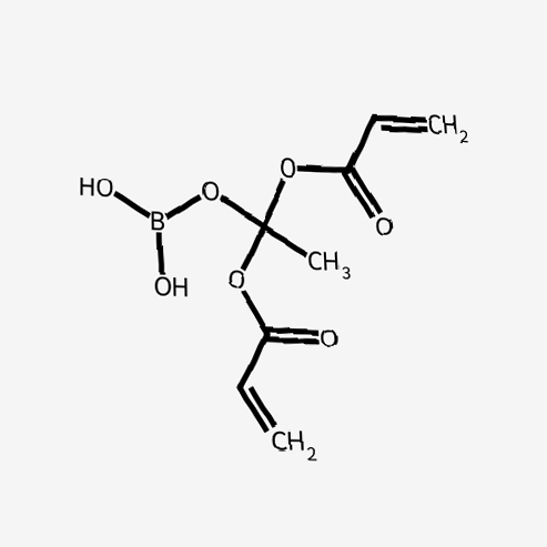 C=CC(=O)OC(C)(OB(O)O)OC(=O)C=C